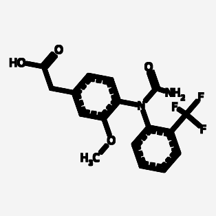 COc1cc(CC(=O)O)ccc1N(C(N)=O)c1ccccc1C(F)(F)F